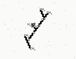 CCCCCCC(CCCC)OCCCCCOCCC(COOCCCCOOC(CCCC)CCCCCC)COS(C)(=O)=O